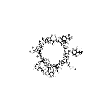 CCO[C@@H]1C[C@H]2C(=O)N[C@@]3(C)CCCCCCC[C@H](N[C@@H]([C@@H](C)CC)C(=O)N(C)CC(=O)N(C)[C@H]4CCCCN(C4=O)[C@@H](Cc4ccc(C(F)(F)F)cc4)C(=O)N(C)CC(=O)N[C@@H](CCc4cc(F)c(C(F)(F)F)c(F)c4)C(=O)N2C1)N(C)C(=O)C[C@@H](C(=O)N1CCOCC1)N(C)C(=O)[C@H](C1CCCC1)N(C)C3=O